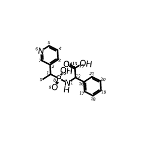 CC(c1cccnc1)P(=O)(O)NC(C(=O)O)c1ccccc1